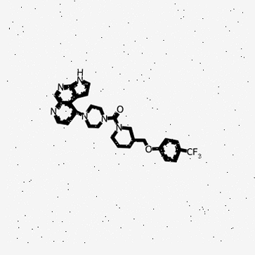 O=C(N1CCN(c2ccnc3cnc4[nH]ccc4c23)CC1)N1CCCC(COc2ccc(C(F)(F)F)cc2)C1